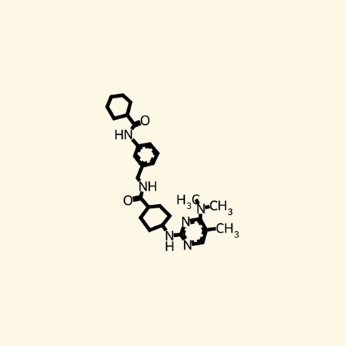 Cc1cnc(NC2CCC(C(=O)NCc3cccc(NC(=O)C4CCCCC4)c3)CC2)nc1N(C)C